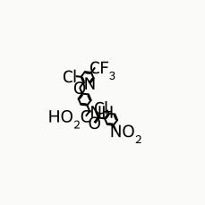 O=C(NC(C(=O)O)c1ccc(Oc2ncc(C(F)(F)F)cc2Cl)cc1)c1cc([N+](=O)[O-])ccc1Cl